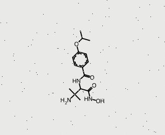 CC(C)Oc1ccc(C(=O)NC(C(=O)NO)C(C)(C)N)cc1